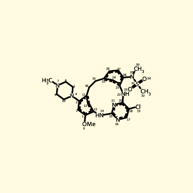 COc1cc(N2CCN(C)CC2)c2cc1Nc1ncc(Cl)c(n1)Nc1cc(ccc1N(C)S(C)(=O)=O)CC2